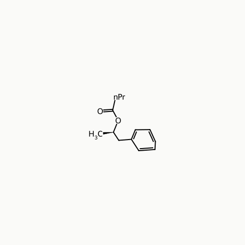 CCCC(=O)O[C@H](C)Cc1ccccc1